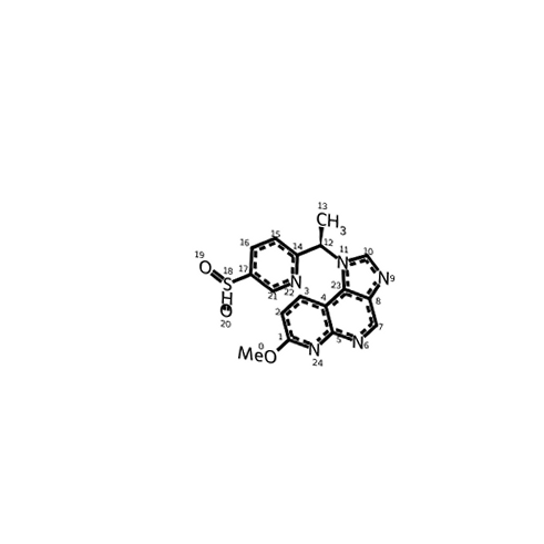 COc1ccc2c(ncc3ncn([C@H](C)c4ccc([SH](=O)=O)cn4)c32)n1